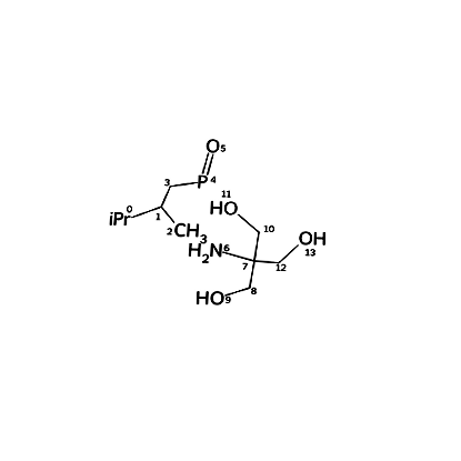 CC(C)C(C)CP=O.NC(CO)(CO)CO